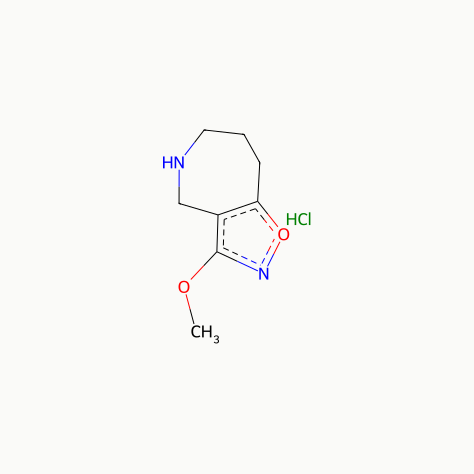 COc1noc2c1CNCCC2.Cl